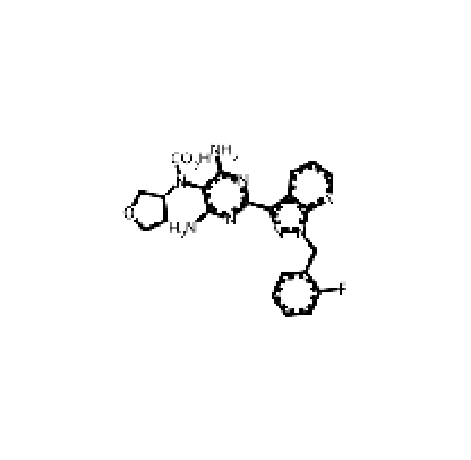 Nc1nc(-c2nn(Cc3ccccc3F)c3ncccc23)nc(N)c1N(C(=O)O)[C@H]1CCOC1